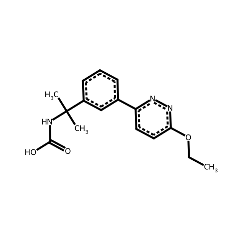 CCOc1ccc(-c2cccc(C(C)(C)NC(=O)O)c2)nn1